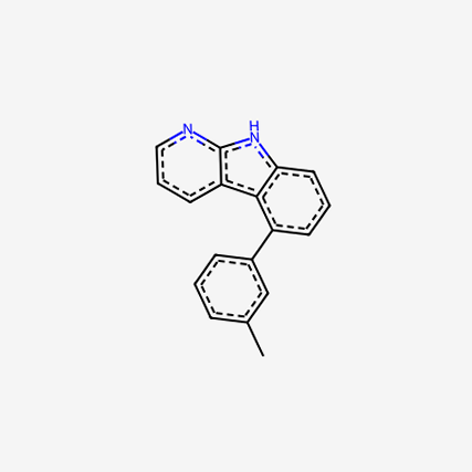 Cc1cccc(-c2cccc3[nH]c4ncccc4c23)c1